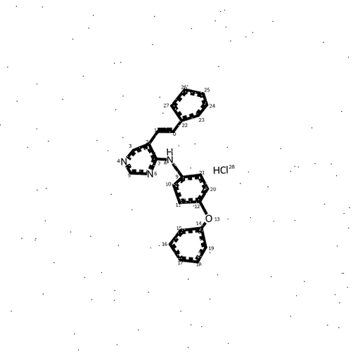 C(=Cc1cncnc1Nc1ccc(Oc2ccccc2)cc1)c1ccccc1.Cl